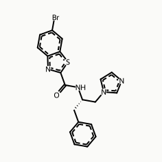 O=C(N[C@@H](Cc1ccccc1)Cn1ccnc1)c1nc2ccc(Br)cc2s1